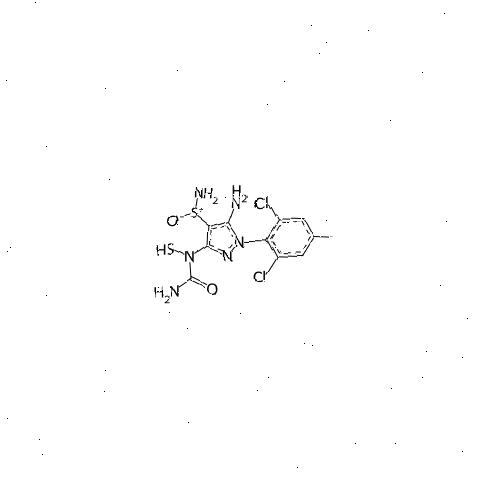 Cc1cc(Cl)c(-n2nc(N(S)C(N)=O)c([S+](N)[O-])c2N)c(Cl)c1